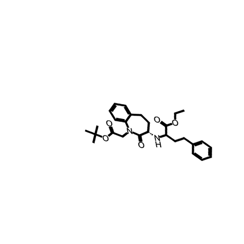 CCOC(=O)C(CCc1ccccc1)N[C@H]1CCc2ccccc2N(CC(=O)OC(C)(C)C)C1=O